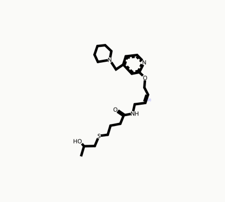 CC(O)CSCCCC(=O)NC/C=C\COc1cc(CN2CCCCC2)ccn1